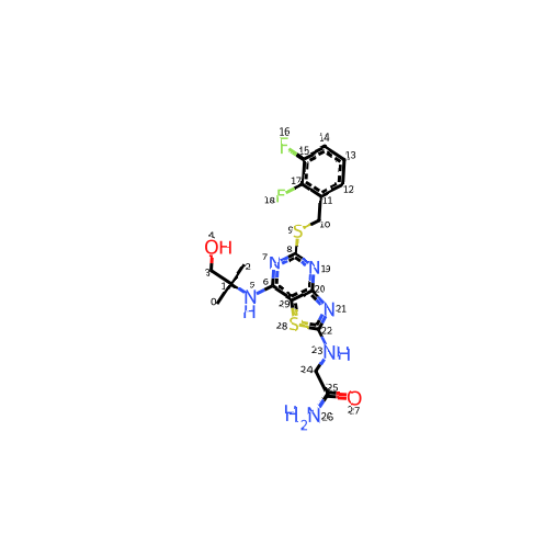 CC(C)(CO)Nc1nc(SCc2cccc(F)c2F)nc2nc(NCC(N)=O)sc12